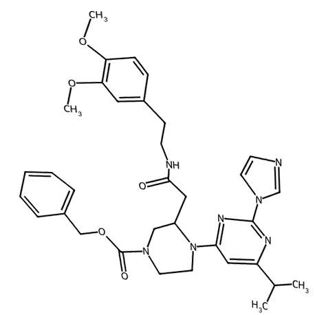 COc1ccc(CCNC(=O)CC2CN(C(=O)OCc3ccccc3)CCN2c2cc(C(C)C)nc(-n3ccnc3)n2)cc1OC